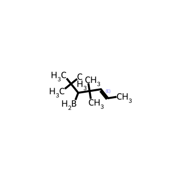 BC(C(C)(C)C)C(C)(C)/C=C/C